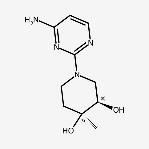 C[C@]1(O)CCN(c2nccc(N)n2)C[C@H]1O